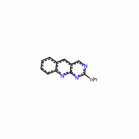 CCCc1ncc2cc3ccccc3nc2n1